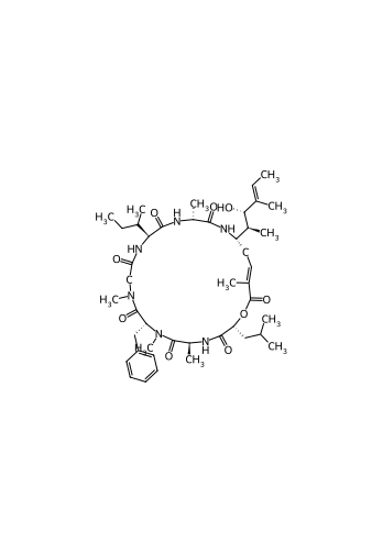 C/C=C(\C)[C@@H](O)[C@@H](C)[C@@H]1C/C=C(\C)C(=O)O[C@H](CC(C)C)C(=O)N[C@@H](C)C(=O)N(C)[C@H](Cc2ccccc2)C(=O)N(C)CC(=O)N[C@@H](C(C)CC)C(=O)N[C@H](C)C(=O)N1